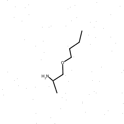 CCCCOCC(C)N